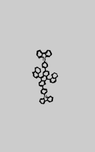 c1cc2c(c(-c3c4ccc(-c5ccc(-n6c7ccccc7c7ccccc76)cc5)cc4c(-c4cccc5c4CCCC5)c4ccc(-c5ccc(-n6c7ccccc7c7ccccc76)cc5)cc34)c1)CCCC2